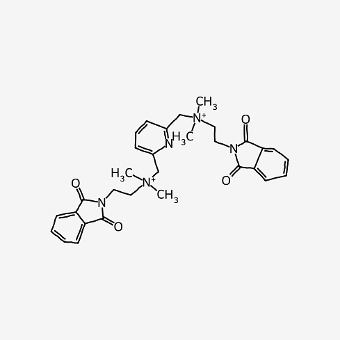 C[N+](C)(CCN1C(=O)c2ccccc2C1=O)Cc1cccc(C[N+](C)(C)CCN2C(=O)c3ccccc3C2=O)n1